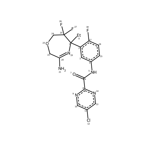 CCC1(c2cc(NC(=O)c3ncc(Cl)cn3)ccc2F)N=C(N)COCC1(F)F